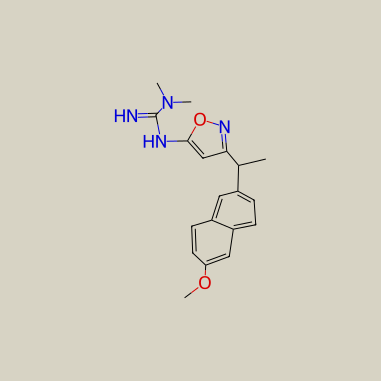 COc1ccc2cc(C(C)c3cc(NC(=N)N(C)C)on3)ccc2c1